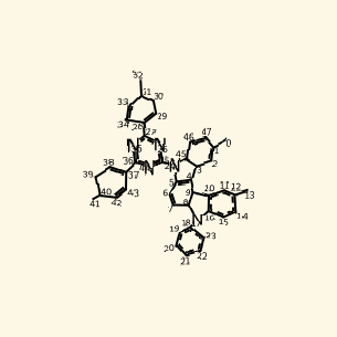 CC1=CC2C3=C(C=CC4C3c3cc(C)ccc3N4c3ccccc3)N(c3nc(C4=CCC(C)C=C4)nc(C4=CCC(C)C=C4)n3)C2C=C1